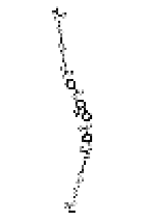 C=C(C)C(=O)OCCOCCOCCOCCOC(=O)Oc1ccc(C(=O)Oc2ccc3c(c2)C(C)(C)c2cc(OC(=O)c4ccc(OC(=O)OCCOCCOCCOCCOC(=O)C(=C)C)cc4)ccc2-3)cc1